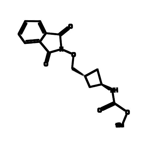 CC(C)(C)OC(=O)N[C@H]1C[C@H](CON2C(=O)c3ccccc3C2=O)C1